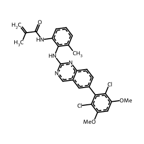 C=C(C)C(=O)Nc1cccc(C)c1Nc1ncc2cc(-c3c(Cl)c(OC)cc(OC)c3Cl)ccc2n1